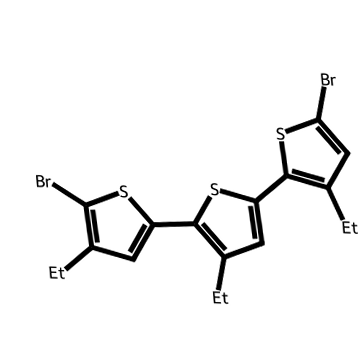 CCc1cc(-c2sc(-c3sc(Br)cc3CC)cc2CC)sc1Br